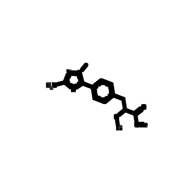 CCOC(Cc1ccc(-c2nc(N)nn2C)cc1)C(=O)OC